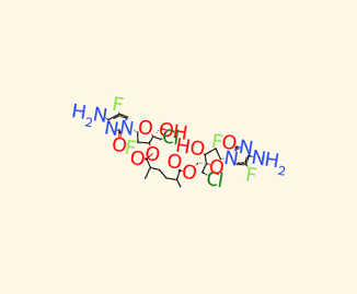 CC(CCC(C)C(=O)O[C@H]1[C@H](F)[C@H](n2cc(F)c(N)nc2=O)O[C@@]1(CO)CCl)C(=O)OC[C@@]1(CCl)O[C@@H](n2cc(F)c(N)nc2=O)[C@@H](F)[C@@H]1O